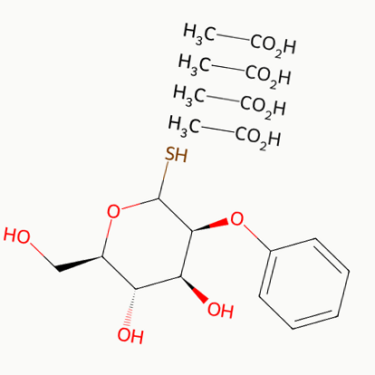 CC(=O)O.CC(=O)O.CC(=O)O.CC(=O)O.OC[C@H]1OC(S)[C@@H](Oc2ccccc2)[C@@H](O)[C@@H]1O